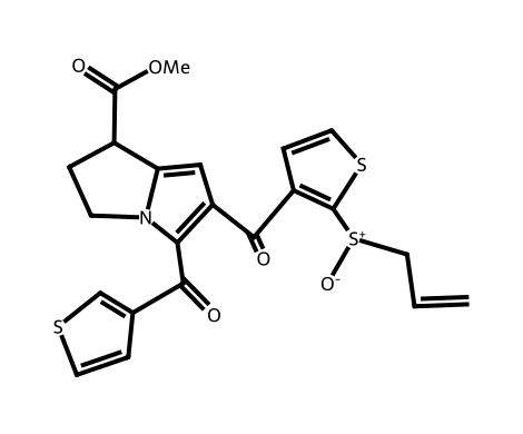 C=CC[S+]([O-])c1sccc1C(=O)c1cc2n(c1C(=O)c1ccsc1)CCC2C(=O)OC